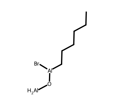 CCCCC[CH2][Al]([Br])[O][AlH2]